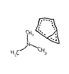 CN(C)C.c1cc2cc-2c1